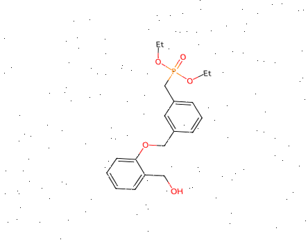 CCOP(=O)(Cc1cccc(COc2ccccc2CO)c1)OCC